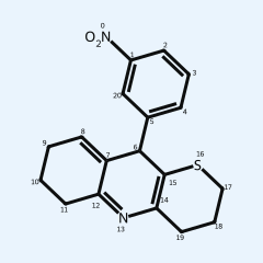 O=[N+]([O-])c1cccc(C2C3=CCCCC3=NC3=C2SCCC3)c1